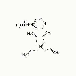 C=CC[N+](CC=C)(CC=C)CC=C.N.O.O.c1ccncc1